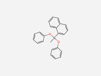 C[Si](Oc1ccccc1)(Oc1ccccc1)c1cccc2ccccc12